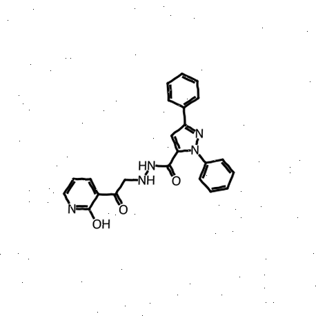 O=C(CNNC(=O)c1cc(-c2ccccc2)nn1-c1ccccc1)c1cccnc1O